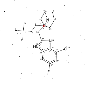 CC(C)(C)CCCN1C2CC1CN(Cc1nc3c(Cl)cc(F)cc3[nH]1)C2